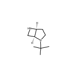 CC(C)(C)N1CC[C@@H]2NC[C@@H]21